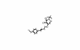 CC(C)(C)n1ncc(OCCC#Cc2ccc(CI)cc2)c(Cl)c1=O